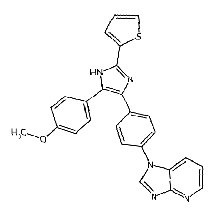 COc1ccc(-c2[nH]c(-c3cccs3)nc2-c2ccc(-n3cnc4ncccc43)cc2)cc1